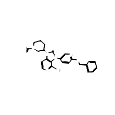 Nc1nccc2c1n(-c1ccc(OCc3ccccc3)nc1)c(=O)n2C1CCCN(C(=O)O)C1